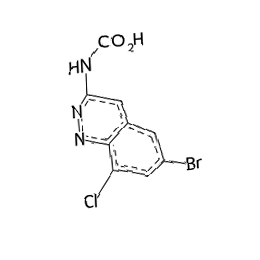 O=C(O)Nc1cc2cc(Br)cc(Cl)c2nn1